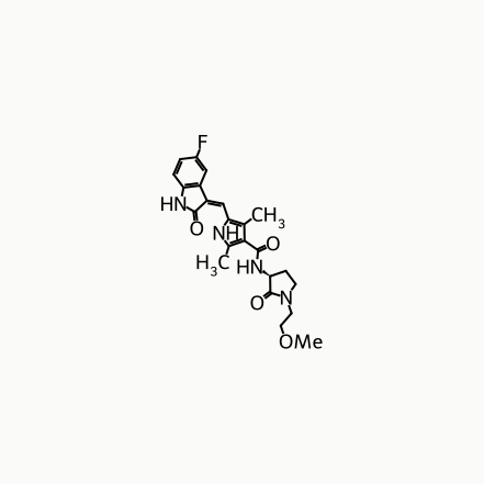 COCCN1CC[C@H](NC(=O)c2c(C)[nH]c(/C=C3\C(=O)Nc4ccc(F)cc43)c2C)C1=O